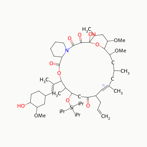 C=CCC1/C=C(\C)CC(C)CC(OC)C2OC(O)(C(=O)C(=O)N3CCCCC3C(=O)OC(C(C)=CC3CCC(O)C(OC)C3)C(C)C(O[Si](C(C)C)(C(C)C)C(C)C)CC1=O)C(C)CC2OC